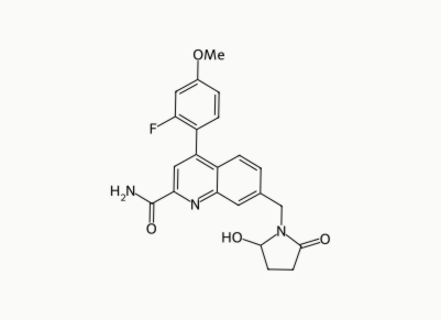 COc1ccc(-c2cc(C(N)=O)nc3cc(CN4C(=O)CCC4O)ccc23)c(F)c1